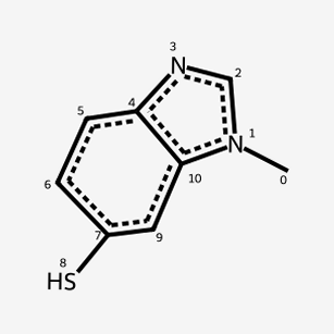 Cn1cnc2ccc(S)cc21